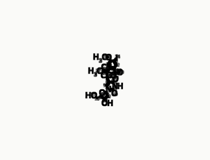 COc1cc([C@@H](OCc2cn([C@H]3C[C@H](O)[C@@H](CO)O3)c(=O)[nH]c2=O)C(C)(C)C)c([N+](=O)[O-])cc1I